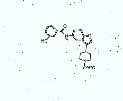 CCCCCN1CCC(c2coc3ccc(NC(=O)c4cccc(C#N)c4)cc23)CC1